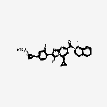 CCOC(=O)[C@@H]1CC1c1ccc(-c2nc3nc(C(=O)N4CCc5ccccc5[C@H]4C)cc(C4CC4)n3c2F)c(F)c1